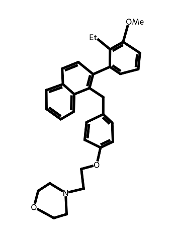 CCc1c(OC)cccc1-c1ccc2ccccc2c1Cc1ccc(OCCN2CCOCC2)cc1